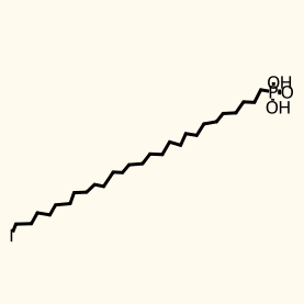 O=P(O)(O)CCCCCCCCCCCCCCCCCCCCCCCCCCCI